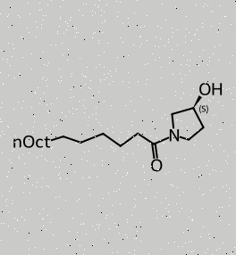 CCCCCCCCCCCCCC(=O)N1CC[C@H](O)C1